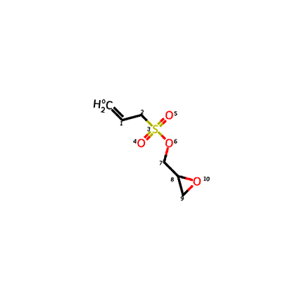 C=CCS(=O)(=O)OCC1CO1